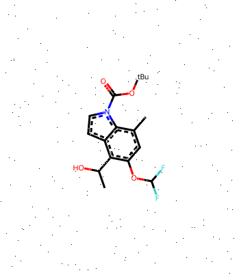 Cc1cc(OC(F)F)c(C(C)O)c2ccn(C(=O)OC(C)(C)C)c12